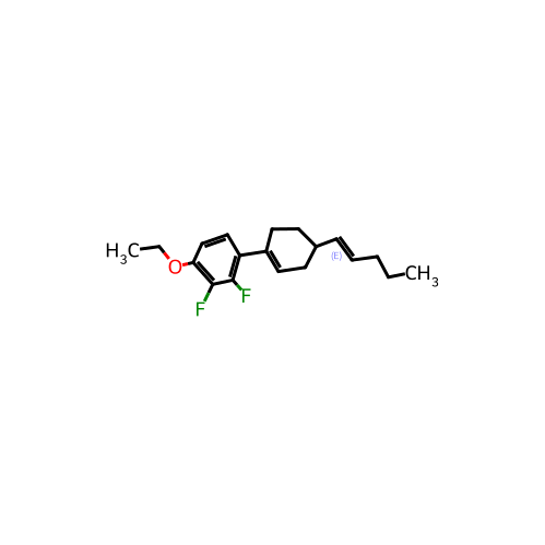 CCC/C=C/C1CC=C(c2ccc(OCC)c(F)c2F)CC1